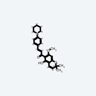 COc1cc2c(c(O)c1C(=O)/C=C/c1ccc(N3CCCCC3)cc1)C=CC(C)(C)O2